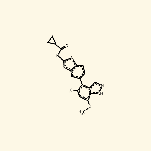 COc1cc(C)c(-c2ccc3nc(NC(=O)C4CC4)sc3c2)c2cn[nH]c12